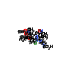 Cc1noc(C)c1-c1nc(-c2cc(OC[C@@H](CN(C)C(=O)OC(C)(C)C)O[Si](C)(C)C(C)(C)C)ccc2Cl)nc(N2CC3(CCN(C(=O)O)C3)C2)c1C